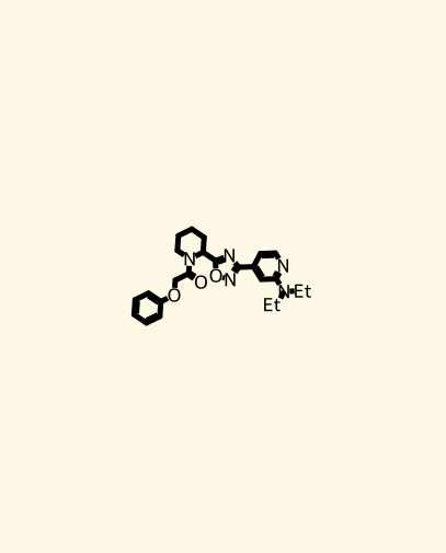 CCN(CC)c1cc(-c2noc(C3CCCCN3C(=O)COc3ccccc3)n2)ccn1